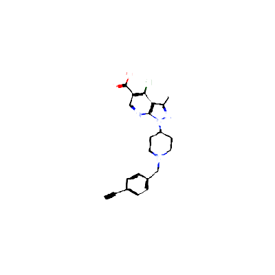 C#Cc1ccc(CN2CCC(n3nc(C)c4c(Cl)c(C(=O)O)cnc43)CC2)cc1